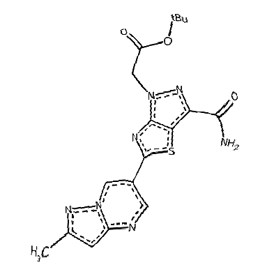 Cc1cc2ncc(-c3nc4c(s3)c(C(N)=O)nn4CC(=O)OC(C)(C)C)cn2n1